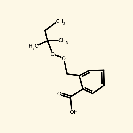 CCC(C)(C)OOCc1ccccc1C(=O)O